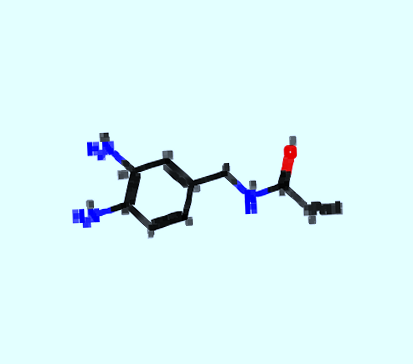 CCCCCC(=O)NCc1ccc(N)c(N)c1